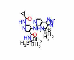 BC(B)(B)NC(=O)c1cnc(NC(=O)C2CC2)cc1Nc1nccc2c1N(C)C(B)(B)c1nn(C)nc1-2